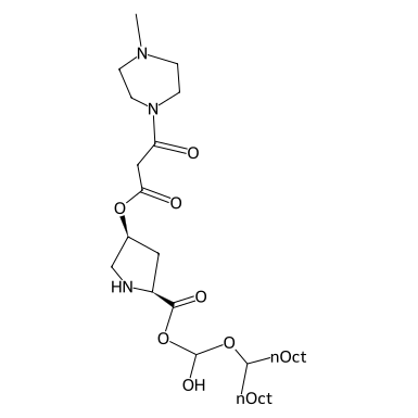 CCCCCCCCC(CCCCCCCC)OC(O)OC(=O)[C@@H]1C[C@H](OC(=O)CC(=O)N2CCN(C)CC2)CN1